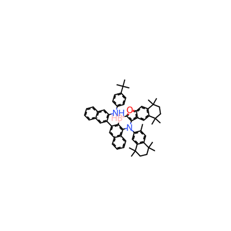 Cc1cc2c(cc1N1c3c(c(-c4cc5ccccc5cc4Nc4ccc(C(C)(C)C)cc4)cc4ccccc34)Bc3oc4cc5c(cc4c31)C(C)(C)CCC5(C)C)C(C)(C)CCC2(C)C